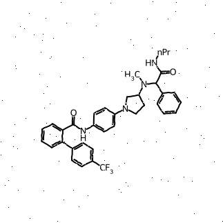 CCCNC(=O)C(c1ccccc1)N(C)C1CCN(c2ccc(NC(=O)c3ccccc3-c3ccc(C(F)(F)F)cc3)cc2)C1